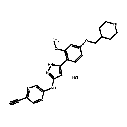 COc1cc(OCC2CCNCC2)ccc1-c1cc(Nc2cnc(C#N)cn2)n[nH]1.Cl